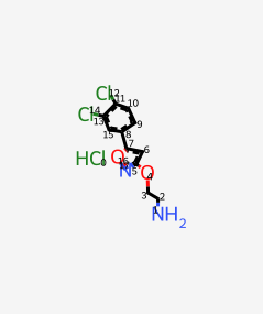 Cl.NCCOc1cc(-c2ccc(Cl)c(Cl)c2)on1